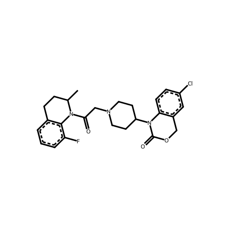 CC1CCc2cccc(F)c2N1C(=O)CN1CCC(N2C(=O)OCc3cc(Cl)ccc32)CC1